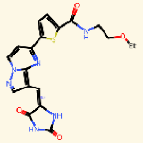 CCOCCNC(=O)c1ccc(-c2ccn3ncc(/C=C4/NC(=O)NC4=O)c3n2)s1